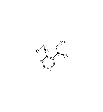 CC(=O)O.C[C@H](CC(=O)O)c1ccccc1N